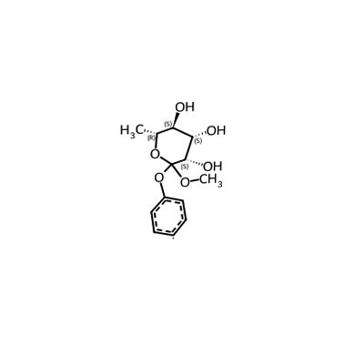 COC1(Oc2cc[c]cc2)O[C@H](C)[C@@H](O)[C@H](O)[C@@H]1O